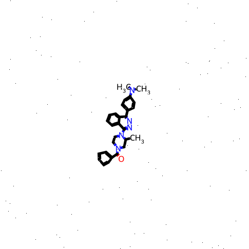 CC1CN(C(=O)c2ccccc2)CCN1c1nnc(-c2ccc(N(C)C)cc2)c2ccccc12